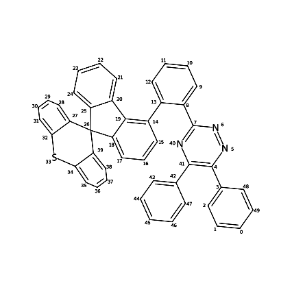 c1ccc(-c2nnc(-c3ccccc3-c3cccc4c3-c3ccccc3C43c4ccccc4Sc4ccccc43)nc2-c2ccccc2)cc1